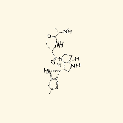 CC[C@H](NC(=O)[C@H](C)NC)C(=O)N1CC[C@H]2NC[C@H](c3c[nH]c4cc(C)ccc34)[C@H]21